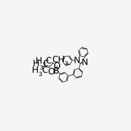 CC1(C)OB(c2cccc(-c3cccc(-c4nc5ccccc5n4-c4ccccc4)c3)c2)OC1(C)C